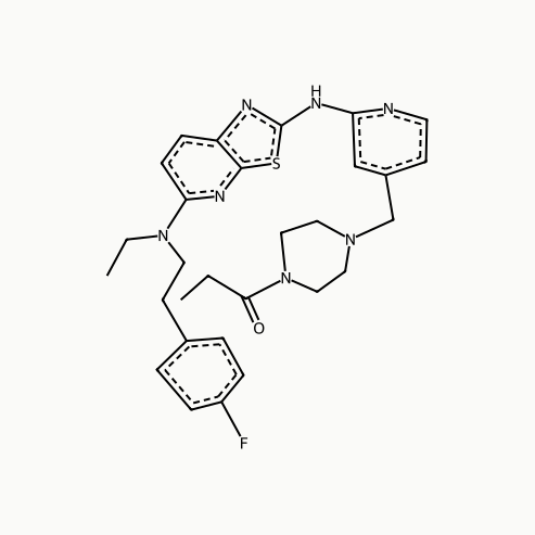 CCC(=O)N1CCN(Cc2ccnc(Nc3nc4ccc(N(CC)CCc5ccc(F)cc5)nc4s3)c2)CC1